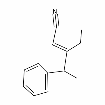 CCC(=CC#N)C(C)c1ccccc1